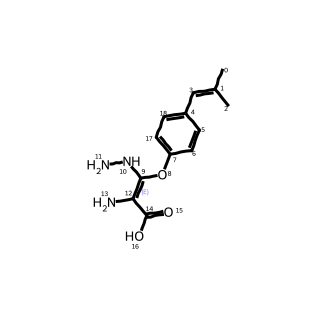 CC(C)=Cc1ccc(O/C(NN)=C(/N)C(=O)O)cc1